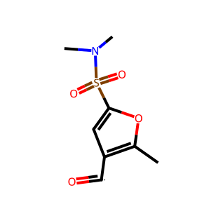 Cc1oc(S(=O)(=O)N(C)C)cc1[C]=O